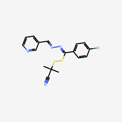 CC(C)(C#N)SSC(=NN=Cc1cccnc1)c1ccc(Cl)cc1